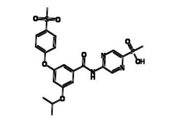 CC(C)Oc1cc(Oc2ccc(S(C)(=O)=O)cc2)cc(C(=O)Nc2cnc(P(C)(=O)O)cn2)c1